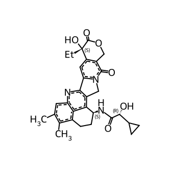 CC[C@@]1(O)C(=O)OCc2c1cc1n(c2=O)Cc2c-1nc1cc(C)c(C)c3c1c2[C@@H](NC(=O)[C@H](O)C1CC1)CC3